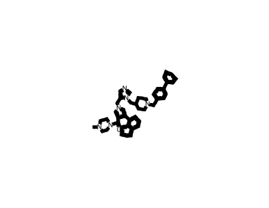 CN1CCN(C(=O)c2cn(Cc3cncn3CC3CCN(Cc4ccc(-c5ccccc5)cc4)CC3)cc2-c2cccc3ccccc23)CC1